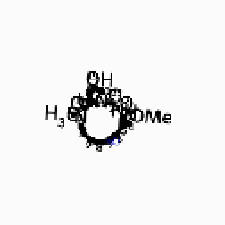 COC(=O)[C@@]12CC1/C=C\CCCCN(C)C(=O)[C@@H]1C[C@@H](O)CN1C(=O)N2